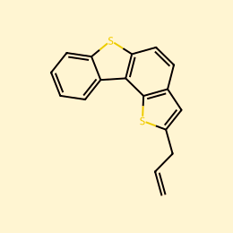 C=CCc1cc2ccc3sc4ccccc4c3c2s1